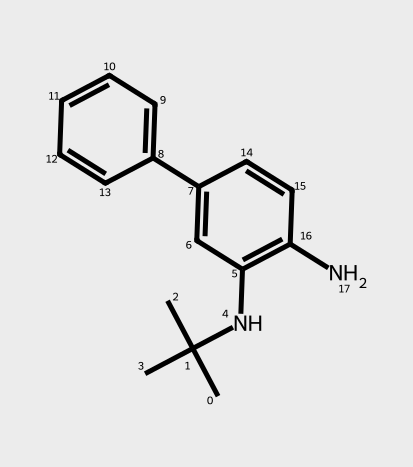 CC(C)(C)Nc1cc(-c2ccccc2)ccc1N